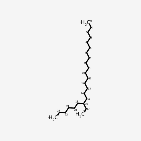 [CH2]CCCCCCCCCCCCCCCC(CC)CCCCC[CH2]